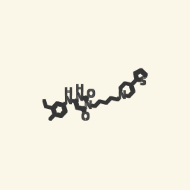 CCc1cc(Nc2cc(=O)n(CCCCCN3CC=C(c4cccs4)CC3)c(=O)[nH]2)ccc1C